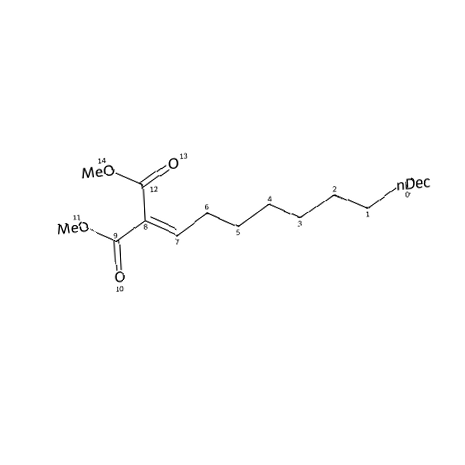 CCCCCCCCCCCCCCCCC=C(C(=O)OC)C(=O)OC